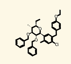 CCOc1ccc(Cc2cc([C@@H]3O[C@H](CC)[C@@H](C)[C@H](OCc4ccccc4)[C@H]3OCc3ccccc3)c(C)cc2Cl)cc1